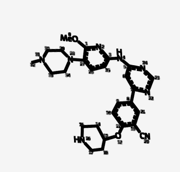 COc1nc(Nc2cc(-c3ccc(OC4CCNCC4)c(C#N)c3)ncn2)ccc1N1CCN(C)CC1